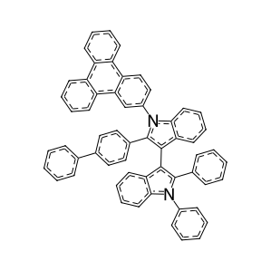 c1ccc(-c2ccc(-c3c(-c4c(-c5ccccc5)n(-c5ccccc5)c5ccccc45)c4ccccc4n3-c3ccc4c5ccccc5c5ccccc5c4c3)cc2)cc1